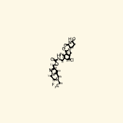 O=C1CCC(N2Cc3c(Cl)cc(CNC(=O)OCc4cc5n(n4)CCN(CC(F)(F)F)C5)c(F)c3C2=O)C(=O)N1